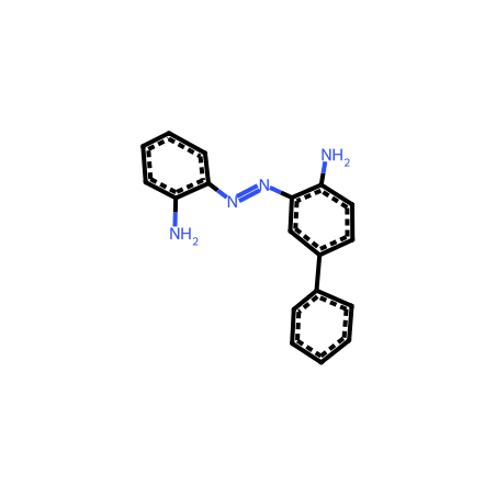 Nc1ccccc1N=Nc1cc(-c2ccccc2)ccc1N